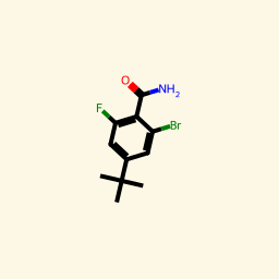 CC(C)(C)c1cc(F)c(C(N)=O)c(Br)c1